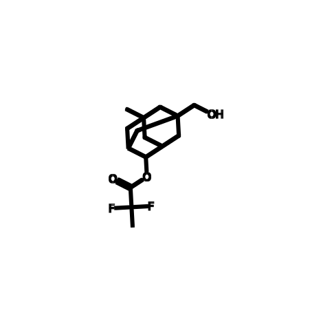 CC12CC3CC(CO)(CC(C1)C3OC(=O)C(C)(F)F)C2